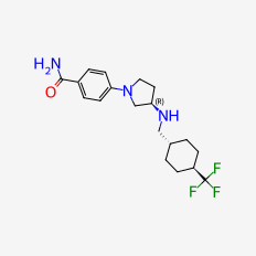 NC(=O)c1ccc(N2CC[C@@H](NC[C@H]3CC[C@H](C(F)(F)F)CC3)C2)cc1